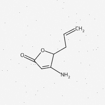 C=CCC1OC(=O)C=C1N